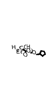 CCC(C)(C)C(=O)OCOCC1CCCC1